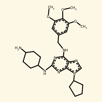 COc1cc(CNc2nc(NC3CCC(N)CC3)nc3c2ncn3C2CCCC2)cc(OC)c1OC